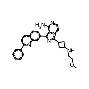 COCCNC1CC(c2nc(-c3ccc4ccc(-c5ccccc5)nc4c3)c3c(N)nccn23)C1